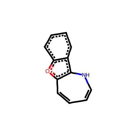 C1=CNc2c(oc3ccccc23)C=C1